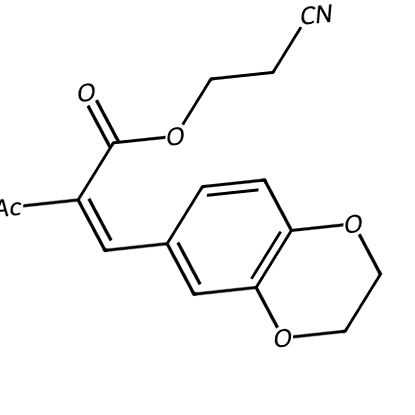 CC(=O)C(=Cc1ccc2c(c1)OCCO2)C(=O)OCCC#N